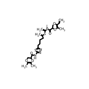 C=CC1=C(C)OC(C(=O)N(I)C(=C)SC(=C)CCCCc2nnc(NC(=O)C3COC(C)=C(C)O3)s2)CO1